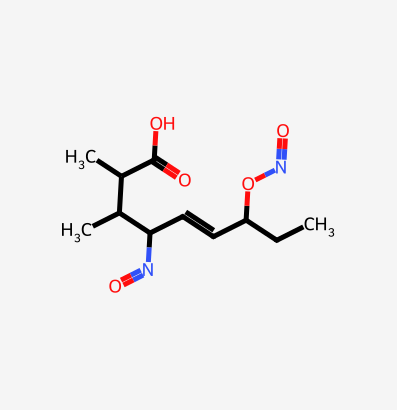 CCC(/C=C/C(N=O)C(C)C(C)C(=O)O)ON=O